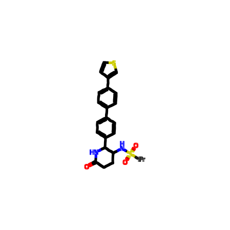 CC(C)S(=O)(=O)NC1CCC(=O)NC1c1ccc(-c2ccc(-c3ccsc3)cc2)cc1